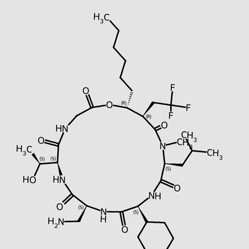 CCCCCC[C@H]1OC(=O)CNC(=O)[C@H]([C@H](C)O)NC(=O)[C@H](CN)NC(=O)[C@H](C2CCCCC2)NC(=O)[C@H](CC(C)C)N(C)C(=O)[C@@H]1CC(F)(F)F